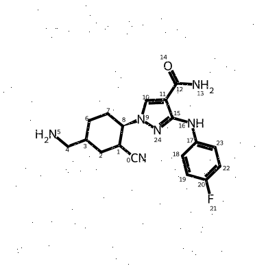 N#CC1CC(CN)CC[C@H]1n1cc(C(N)=O)c(Nc2ccc(F)cc2)n1